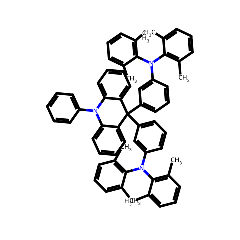 Cc1cccc(C)c1N(c1cccc(C2(c3cccc(N(c4c(C)cccc4C)c4c(C)cccc4C)c3)c3ccccc3N(c3ccccc3)c3ccccc32)c1)c1c(C)cccc1C